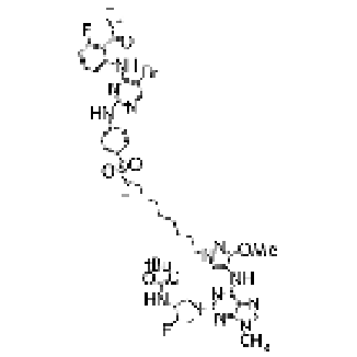 COc1nn(CCCCCCCCNS(=O)(=O)c2ccc(Nc3ncc(Br)c(Nc4cccc(F)c4C(N)=O)n3)cc2)cc1Nc1nc(N2C[C@@H](F)[C@H](NC(=O)OC(C)(C)C)C2)nc2c1ncn2C